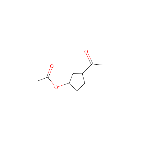 CC(=O)OC1CCC(C(C)=O)C1